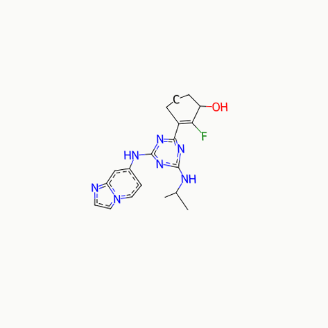 CC(C)Nc1nc(Nc2ccn3ccnc3c2)nc(C2=C(F)C(O)CCC2)n1